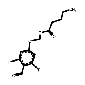 CCCCC(=O)OCOc1cc(F)c(C=O)c(F)c1